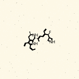 C=C/C(=C\C=C(/C)[C@H]1N[C@H](C)Cc2c1[nH]c(/C=C\C)c2C=C)[C@@H](F)C1CNC1